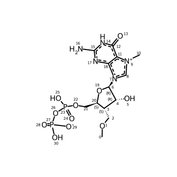 COC[C@H]1[C@@H](O)[C@H](n2c[n+](C)c3c(=O)[nH]c(N)nc32)O[C@@H]1COP(=O)(O)OP(=O)([O-])O